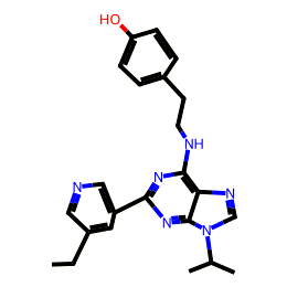 CCc1cncc(-c2nc(NCCc3ccc(O)cc3)c3ncn(C(C)C)c3n2)c1